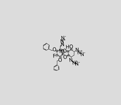 [N-]=[N+]=NC[C@H]1O[C@H](O[C@@H]2C(N=[N+]=[N-])CC(N=[N+]=[N-])[C@H](O)[C@H]2O)[C@H](OCc2ccccc2)[C@@H](F)[C@@H]1OCc1ccccc1